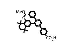 COCOc1cc(-c2cc(-c3ccc(C(=O)O)cc3)ccc2-c2ccccc2)cc2c1C(C)(C)CCC2(C)C